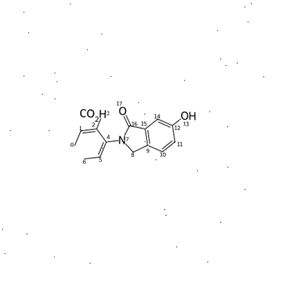 C/C=C(C(=O)O)\C(=C/C)N1Cc2ccc(O)cc2C1=O